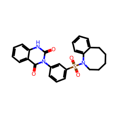 O=c1[nH]c2ccccc2c(=O)n1-c1cccc(S(=O)(=O)N2CCCCCc3ccccc32)c1